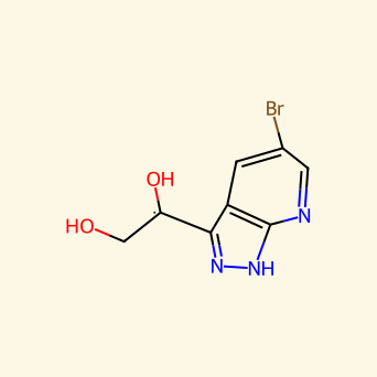 OC[C](O)c1n[nH]c2ncc(Br)cc12